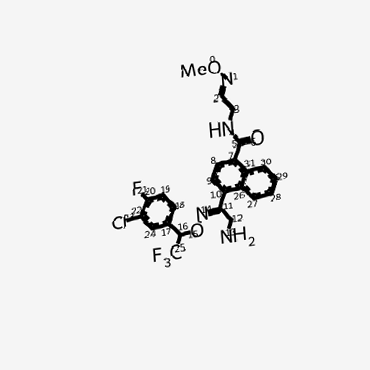 CO/N=C/CNC(=O)c1ccc(/C(CN)=N/OC(c2ccc(F)c(Cl)c2)C(F)(F)F)c2ccccc12